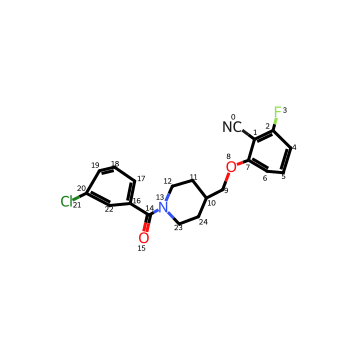 N#Cc1c(F)cccc1OCC1CCN(C(=O)c2cccc(Cl)c2)CC1